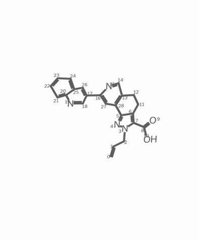 C=CCn1nc2c(c1C(=O)O)CCc1cnc(-c3cnc4ccccc4c3)cc1-2